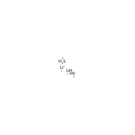 S.[Li+].[LiH].[SH-]